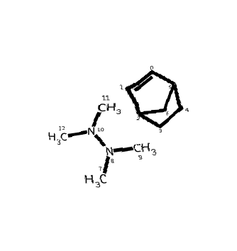 C1=CC2CCC1C2.CN(C)N(C)C